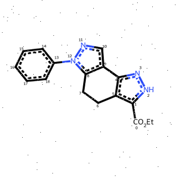 CCOC(=O)c1[nH]nc2c1CCc1c-2cnn1-c1ccccc1